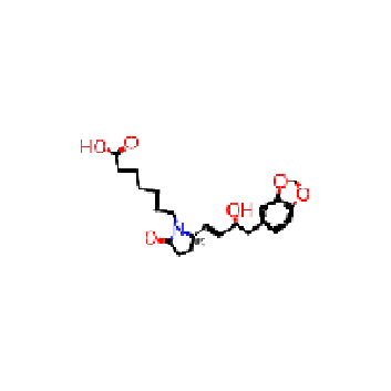 O=C(O)CCCCCCN1C(=O)CC[C@@H]1C=CC(O)Cc1ccc2c(c1)OCO2